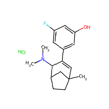 CN(C)C1C(c2cc(O)cc(F)c2)=CC2(C)CCC1C2.Cl